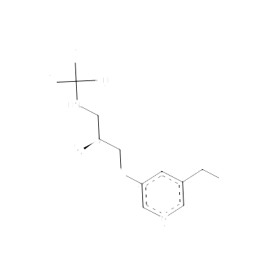 CCc1cncc(OC[C@@H](N)CNC(C)(C)C)c1